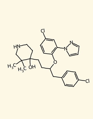 CC1(C)CNCCC1(O)CCC(Cc1ccc(Cl)cc1)Oc1ccc(Cl)cc1-n1cccn1